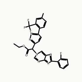 CCOC(=O)C(c1ccc(-c2ccc(C)cc2C(F)(F)F)nn1)n1cnc2nc(-c3ccccc3F)nc-2c1